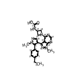 CCc1ccc(-c2c(-c3nn(C)c4ncnc(N5CC(NC(=O)O)C5)c34)cnn2C)cc1